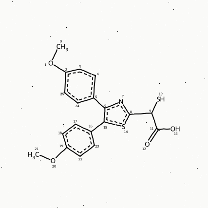 COc1ccc(-c2nc(C(S)C(=O)O)sc2-c2ccc(OC)cc2)cc1